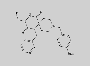 COc1ccc(CN2CCC3(CC2)C(=O)NC(CC(C)C)C(=O)N3Cc2cccnc2)cc1